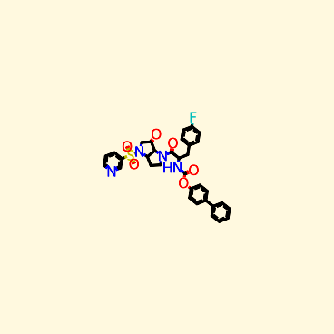 O=C(NC(Cc1ccc(F)cc1)C(=O)N1CCC2C1C(=O)CN2S(=O)(=O)c1cccnc1)Oc1ccc(-c2ccccc2)cc1